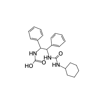 O=C(O)NC(c1ccccc1)C(NC(=O)NC1CCCCC1)c1ccccc1